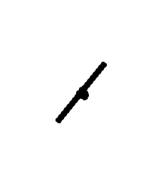 C#CC#CC#CC#CC#CC#CC#CC#COc1ccc(C)cc1OC#CC#CC#CC#CC#CC#CC#CC#C